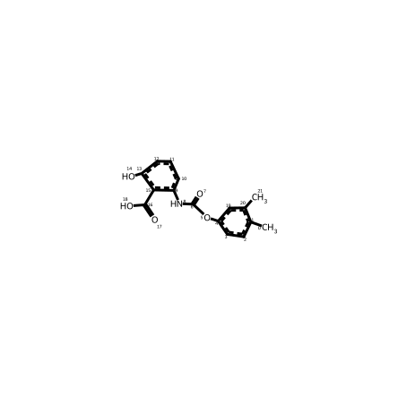 Cc1ccc(OC(=O)Nc2cccc(O)c2C(=O)O)cc1C